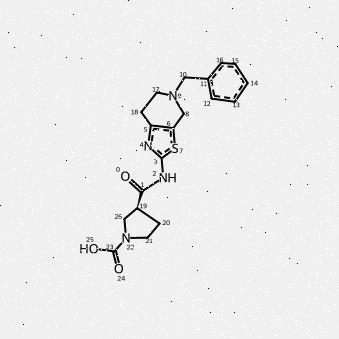 O=C(Nc1nc2c(s1)CN(Cc1ccccc1)CC2)[C@H]1CCN(C(=O)O)C1